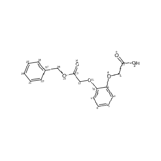 O=C(O)COc1ccccc1OCC(=O)OCc1ccccc1